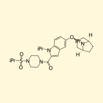 CC(C)N1[C@@H]2CC[C@H]1C[C@@H](Oc1ccc3c(c1)cc(C(=O)N1CCN(S(=O)(=O)C(C)C)CC1)n3C(C)C)C2